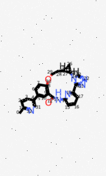 Cc1ccc(-c2ccc3c(c2)C(=O)Nc2cccc(n2)-c2nncn2[C@@H]2C[C@H]2CCO3)cn1